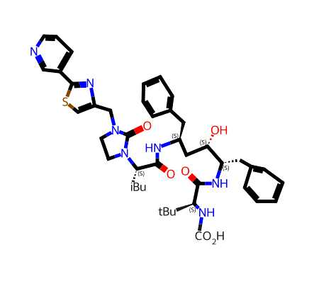 CCC(C)[C@@H](C(=O)N[C@@H](Cc1ccccc1)C[C@H](O)[C@H](Cc1ccccc1)NC(=O)[C@@H](NC(=O)O)C(C)(C)C)N1CCN(Cc2csc(-c3cccnc3)n2)C1=O